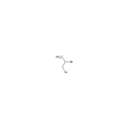 CC(=O)CC(Br)C(=O)O